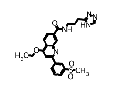 CCOc1cc(-c2cccc(S(C)(=O)=O)c2)nc2cc(C(=O)NCCCc3nnc[nH]3)ccc12